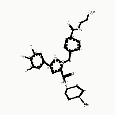 CC(C)(C)[C@H]1CC[C@H](NC(=O)c2cc(-c3cc(F)c(F)c(F)c3)nn2Cc2ccc(C(=O)NCCC(=O)O)cc2)CC1